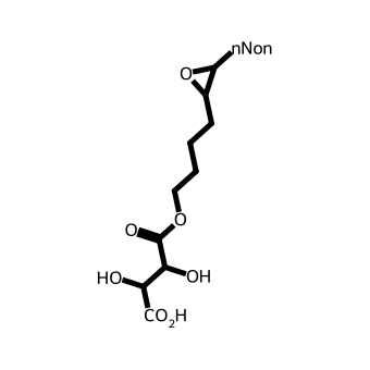 CCCCCCCCCC1OC1CCCCOC(=O)C(O)C(O)C(=O)O